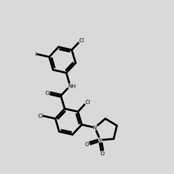 O=C(Nc1cc(Cl)cc(I)c1)c1c(Cl)ccc(N2CCCS2(=O)=O)c1Cl